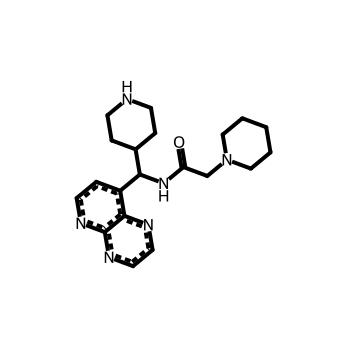 O=C(CN1CCCCC1)NC(c1ccnc2nccnc12)C1CCNCC1